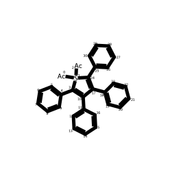 CC(=O)S1(C(C)=O)C(c2ccccc2)=C(c2ccccc2)C(c2ccccc2)=C1c1ccccc1